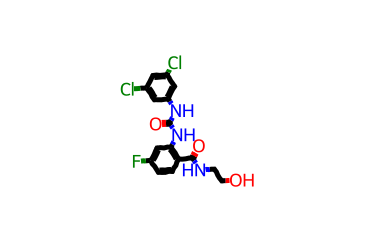 O=C(Nc1cc(Cl)cc(Cl)c1)Nc1cc(F)ccc1C(=O)NCCO